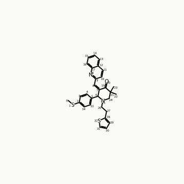 CSc1ccc(C2/C(=C/c3ccc4ccccc4n3)C(=O)C(C)(C)CN2CCc2cccs2)cc1